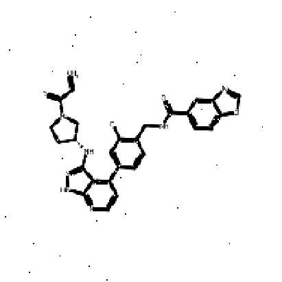 C=CC(=O)N1CC[C@@H](Nc2n[nH]c3nccc(-c4ccc(CNC(=O)c5ccc6ocnc6c5)c(F)c4)c23)C1